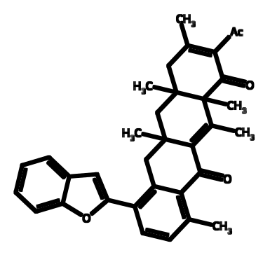 CC(=O)C1=C(C)CC2(C)CC3(C)Cc4c(-c5cc6ccccc6o5)ccc(C)c4C(=O)C3=C(C)C2(C)C1=O